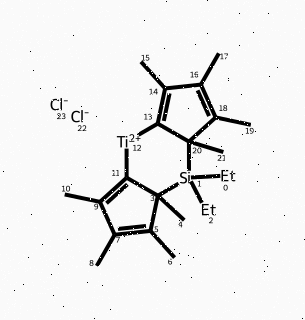 CC[Si]1(CC)C2(C)C(C)=C(C)C(C)=[C]2[Ti+2][C]2=C(C)C(C)=C(C)C21C.[Cl-].[Cl-]